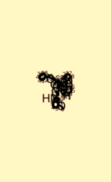 COc1cccc2[nH]c(C(=O)N3C[C@@H]4CCCC[C@@H]4[C@H]3C(=O)N[C@@H](C[C@@H]3CCCNC3=O)C(=O)COCc3ccccc3)cc12